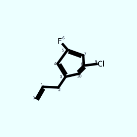 C=CCc1cc(F)cc(Cl)c1